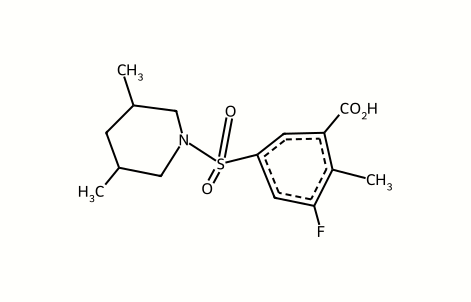 Cc1c(F)cc(S(=O)(=O)N2CC(C)CC(C)C2)cc1C(=O)O